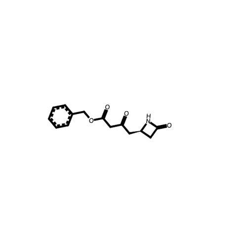 O=C(CC(=O)OCc1ccccc1)C[C@@H]1CC(=O)N1